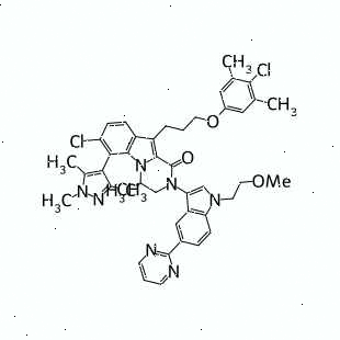 COCCn1cc(N2C[C@@H](C)n3c(c(CCCOc4cc(C)c(Cl)c(C)c4)c4ccc(Cl)c(-c5c(C)nn(C)c5C)c43)C2=O)c2cc(-c3ncccn3)ccc21